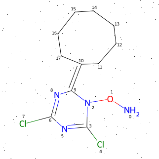 NON1C(Cl)=NC(Cl)=NC1=C1CCCCCCC1